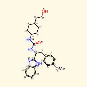 COc1ccc(CC(NC(=O)NC2CCC(CCO)CC2)c2nc3ccccc3[nH]2)cc1